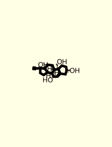 C#C[C@]1(O)CC[C@H]2[C@@H]3[C@@H](O)C=C4C[C@H](O)CC[C@]4(CO)[C@H]3CC[C@@]21C